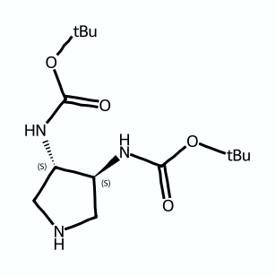 CC(C)(C)OC(=O)N[C@H]1CNC[C@@H]1NC(=O)OC(C)(C)C